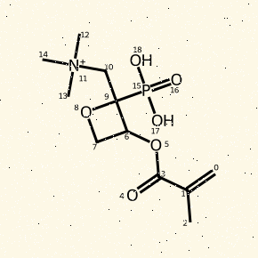 C=C(C)C(=O)OC1COC1(C[N+](C)(C)C)P(=O)(O)O